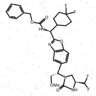 COC[C@H](c1ccc2oc([C@@H](NC(=O)OCc3ccccc3)C3CCC(F)(F)CC3)nc2c1)N1C[C@@H](C(F)F)NC1=O